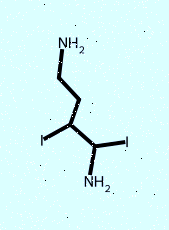 NCCC(I)C(N)I